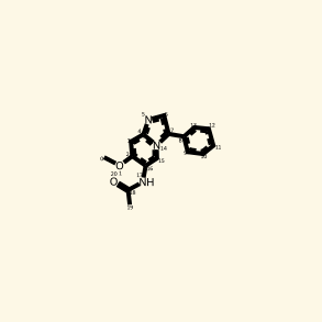 COc1cc2ncc(-c3ccccc3)n2cc1NC(C)=O